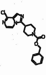 O=C(OCc1ccccc1)N1CCC(c2ncc3c(Cl)nccn23)CC1